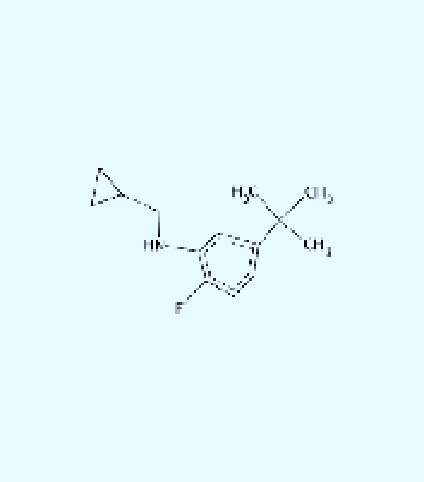 CC(C)(C)c1ccc(F)c(NCC2CC2)c1